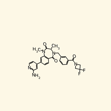 C[C@@H]1C(=O)N(C)c2cc(-c3ccnc(N)c3)ccc2C(=O)N1Cc1cccc(C(=O)N2CC(F)(F)C2)c1